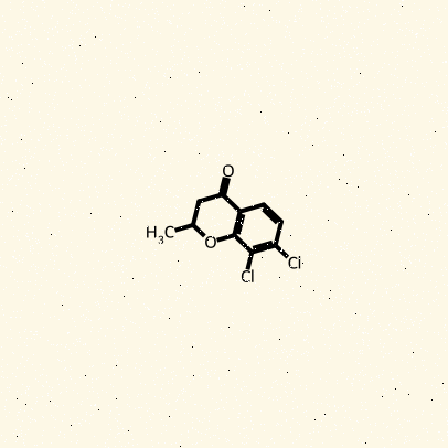 CC1CC(=O)c2ccc(Cl)c(Cl)c2O1